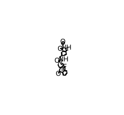 O=C(NC1COC1)c1cc(CNC(=O)N2CCC3(CC2)CC(=O)c2ccccc2N3F)ccc1F